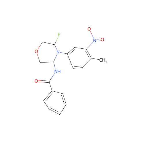 Cc1ccc(N2C(F)COCC2NC(=O)c2ccccc2)cc1[N+](=O)[O-]